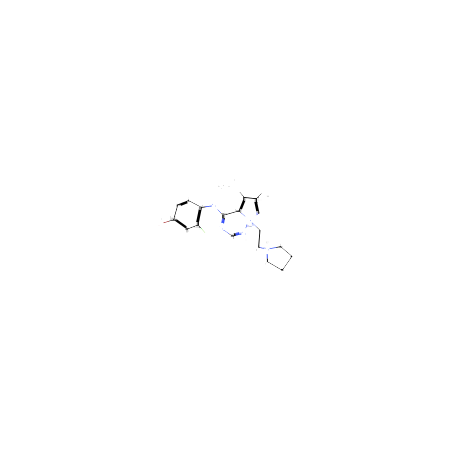 COC1=C2C(Nc3ccc(Br)cc3F)=NC=N[N+]2(CCN2CCCC2)C=C1C(=O)O